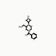 O=C(c1ccccc1)N1CCN(C2CNC2)C(CO)C1